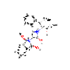 COC(=O)C(C(OC)c1ccccc1)N1CC(N2C(=O)c3ccccc3C2=O)C1=O